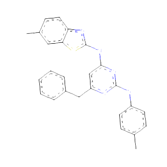 CCc1ccc2nc(Nc3cc(Cc4ccccc4)nc(Nc4ccc(C)cc4)n3)sc2c1